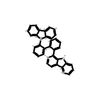 c1ccc(-c2nccc3c2oc2cccnc23)c(-c2ccccc2-n2c3ccccc3c3ccccc32)c1